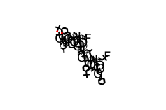 CC(C)C[C@@H](C(=O)O[C@H](Cc1ccc(C(C)(C)C)cc1)C(=O)N(C)[C@@H](CC(C)(C)F)C(=O)O[C@H](C)C(=O)N(C)[C@@H](CC(C)C)C(=O)O[C@H](Cc1ccc(C(C)(C)C)cc1)C(=O)N(C)[C@@H](CCC(C)(C)F)C(=O)O[C@H](C)C(=O)OCc1ccccc1)N(C)C(=O)OC(C)(C)C